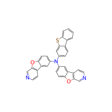 c1ccc2c(c1)sc1cc(N(c3ccc4oc5cnccc5c4c3)c3ccc4oc5cnccc5c4c3)ccc12